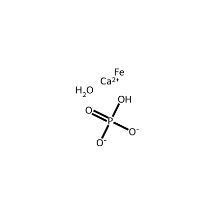 O.O=P([O-])([O-])O.[Ca+2].[Fe]